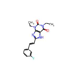 CCn1c(=O)c2[nH]c(/C=C/c3cccc(F)c3)nc2n(CC)c1=O